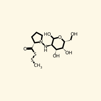 CSSC(=O)[C@@H]1CCCN1N[C@H]1C(O)O[C@H](CO)[C@H](O)[C@@H]1O